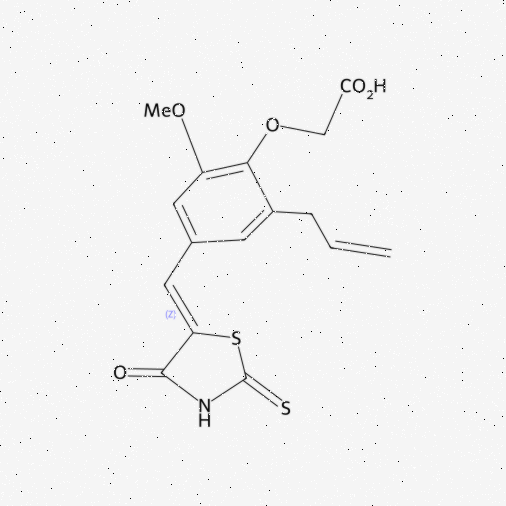 C=CCc1cc(/C=C2\SC(=S)NC2=O)cc(OC)c1OCC(=O)O